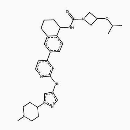 CC(C)OC1CN(C(=O)NC2CCCc3cc(-c4ccnc(Nc5cnn(C6CCN(C)CC6)c5)n4)ccc32)C1